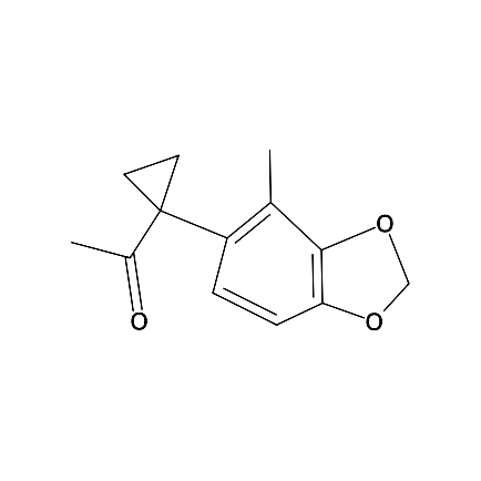 CC(=O)C1(c2ccc3c(c2C)OCO3)CC1